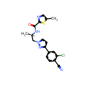 Cc1cnc(C(=O)N[C@H](C)Cn2ccc(-c3ccc(C#N)c(Cl)c3)n2)s1